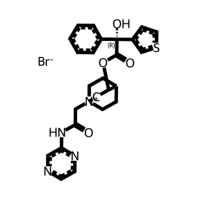 O=C(C[N+]12CCC(CC1)C(OC(=O)[C@@](O)(c1ccccc1)c1ccsc1)C2)Nc1cnccn1.[Br-]